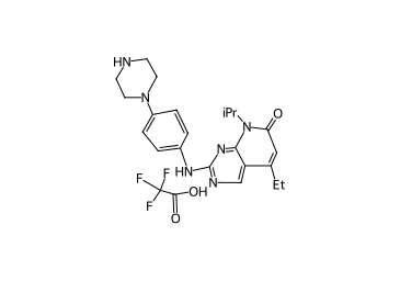 CCc1cc(=O)n(C(C)C)c2nc(Nc3ccc(N4CCNCC4)cc3)ncc12.O=C(O)C(F)(F)F